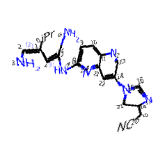 CC(C)C(=C/N)/C=C(\N)Nc1ccc2ncc(N3C=NC(CC#N)C3)cc2n1